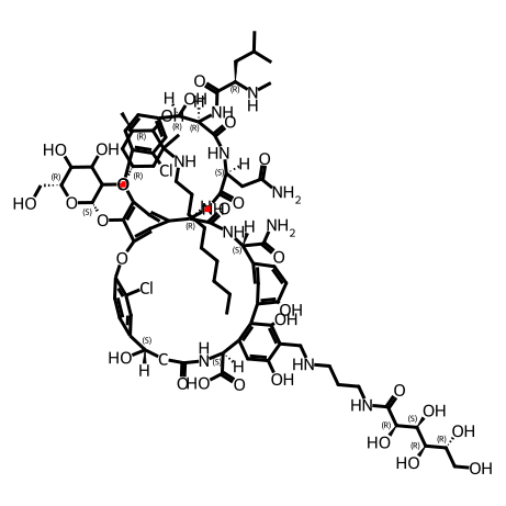 CCCCCCCCCNC1(C)C[C@H](OC2C(O)C(O)[C@@H](CO)O[C@H]2Oc2c3cc4cc2Oc2ccc(cc2Cl)[C@@H](O)CC(=O)N[C@H](C(=O)O)c2cc(O)c(CNCCCNC(=O)[C@H](O)[C@@H](O)[C@H](O)[C@H](O)CO)c(O)c2-c2cc(ccc2O)[C@@H](C(N)=O)NC(=O)[C@@H]4NC(=O)[C@H](CC(N)=O)NC(=O)[C@H](NC(=O)[C@@H](CC(C)C)NC)[C@H](O)c2ccc(c(Cl)c2)O3)C[C@@H](C)C1O